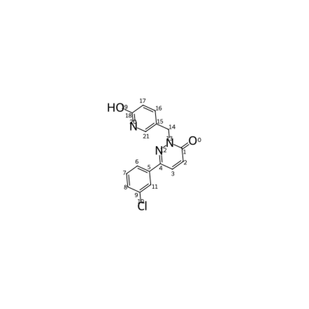 O=c1ccc(-c2cccc(Cl)c2)nn1Cc1ccc(O)nc1